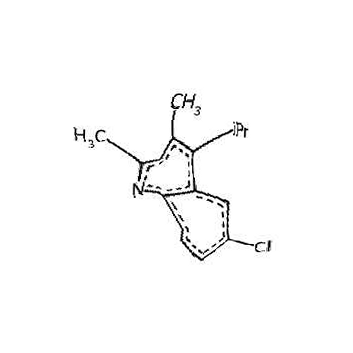 Cc1nc2ccc(Cl)cc2c(C(C)C)c1C